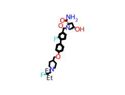 CCC(F)(CC)CN1CCC(COc2ccc(-c3ccc(C(=O)N4C[C@H](O)C[C@H]4C(N)=O)cc3F)cc2)CC1